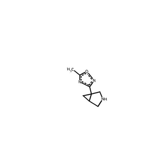 Cc1nc(C23CNCC2C3)no1